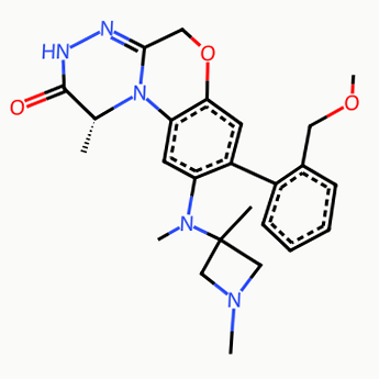 COCc1ccccc1-c1cc2c(cc1N(C)C1(C)CN(C)C1)N1C(=NNC(=O)[C@H]1C)CO2